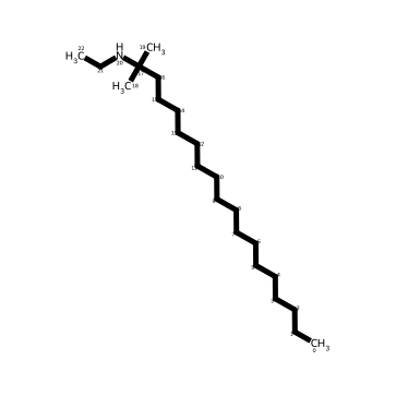 CCCCCCCCCCCCCCCCCC(C)(C)NCC